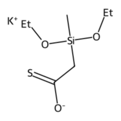 CCO[Si](C)(CC([O-])=S)OCC.[K+]